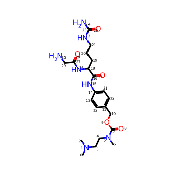 CN(C)CCN(C)C(=O)OCc1ccc(NC(=O)C(CCCNC(N)=O)NC(=O)CN)cc1